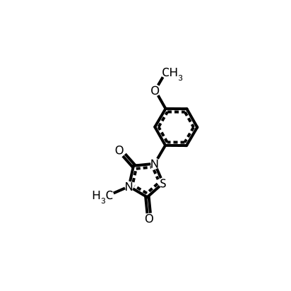 COc1cccc(-n2sc(=O)n(C)c2=O)c1